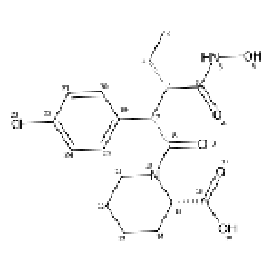 CC[C@H](C(=O)NO)[C@H](C(=O)N1CCCC[C@H]1C(=O)O)c1ccc(Cl)cc1